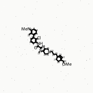 CNc1cccc(-c2cccc(NC(=O)c3nc4c(n3C)CCN(CCCC35CCC(COC)(CC3)C5)C4)c2Cl)c1C